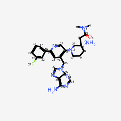 CN(C)C(=O)C[C@@]1(N)CCCN(c2cnc(-c3cccc(F)c3)cc2Cn2cnc3c(N)ncnc32)C1